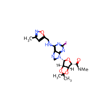 CNC(=O)[C@H]1O[C@@H](n2cnc3c(NCc4cc(C)no4)nc(I)nc32)[C@@H]2OC(C)(C)O[C@@H]21